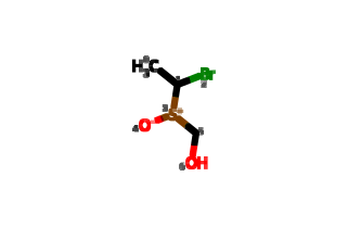 CC(Br)[S+]([O-])CO